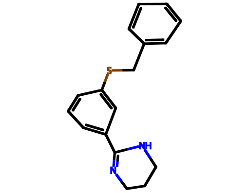 c1ccc(CSc2cccc(C3=NCCCN3)c2)cc1